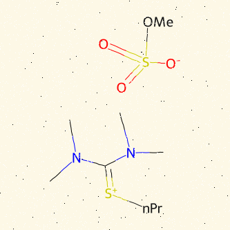 CCC[S+]=C(N(C)C)N(C)C.COS(=O)(=O)[O-]